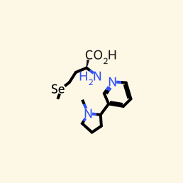 CN1CCCC1c1cccnc1.C[Se]CC[C@H](N)C(=O)O